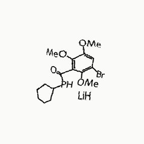 COc1cc(Br)c(OC)c(C(=O)PC2CCCCC2)c1OC.[LiH]